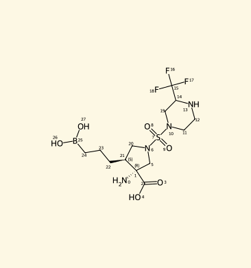 N[C@@]1(C(=O)O)CN(S(=O)(=O)N2CCNC(C(F)(F)F)C2)C[C@@H]1CCCB(O)O